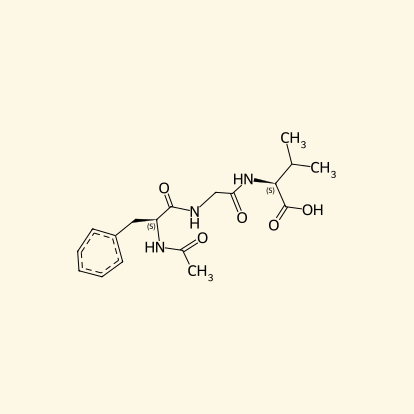 CC(=O)N[C@@H](Cc1ccccc1)C(=O)NCC(=O)N[C@H](C(=O)O)C(C)C